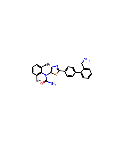 CCCc1cccc(CCC)c1N(C(N)=O)c1cnc(-c2ccc(-c3ccccc3CN)cc2)s1